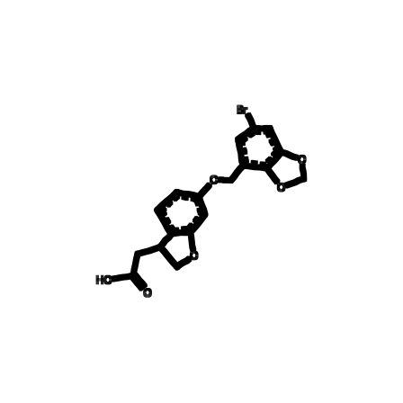 O=C(O)CC1COc2cc(OCc3cc(Br)cc4c3OCO4)ccc21